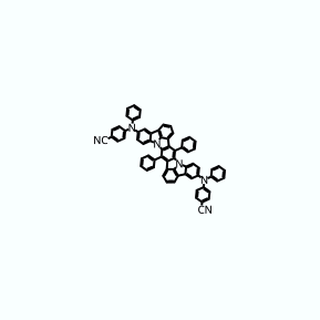 N#Cc1ccc(N(c2ccccc2)c2ccc3c(c2)c2cccc4c5c(-c6ccccc6)c6c(c(-c7ccccc7)c5n3c24)c2cccc3c4cc(N(c5ccccc5)c5ccc(C#N)cc5)ccc4n6c32)cc1